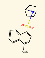 COc1ccc(S(=O)(=O)N2CC3CCC(CC3)C2)c2ccccc12